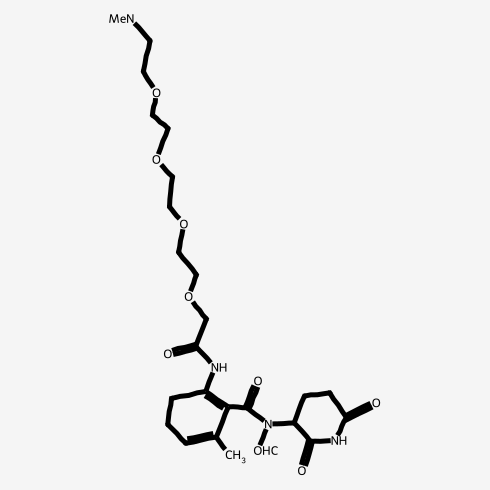 CNCCOCCOCCOCCOCC(=O)NC1=C(C(=O)N(C=O)C2CCC(=O)NC2=O)C(C)=CCC1